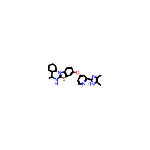 Cc1nc(-c2cc(Oc3ccc4nc(NC(C)C5CCCCC5)sc4c3)ccn2)[nH]c1C